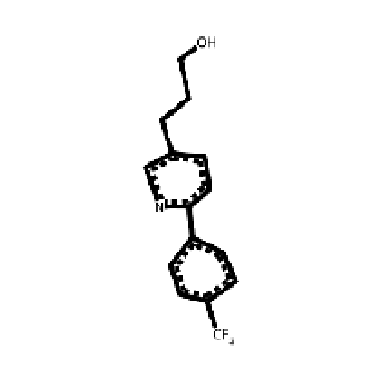 OCCCc1ccc(-c2ccc(C(F)(F)F)cc2)nc1